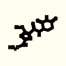 COc1sc(NC(=O)O)nc1C(=O)NC1CCC(=O)NC1=O